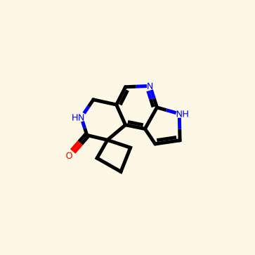 O=C1NCc2cnc3[nH]ccc3c2C12CCC2